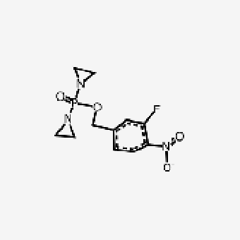 O=[N+]([O-])c1ccc(COP(=O)(N2CC2)N2CC2)cc1F